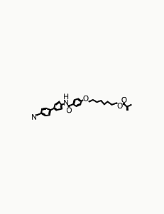 C=C(C)C(=O)OCCCCCCCCOc1ccc(C(=O)Nc2ccc(-c3ccc(C#N)cc3)cc2)cc1